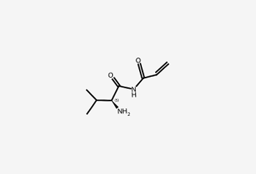 C=CC(=O)NC(=O)[C@@H](N)C(C)C